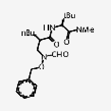 CCCCC(CN(C=O)OCc1ccccc1)C(=O)NC(C(=O)NC)C(C)(C)C